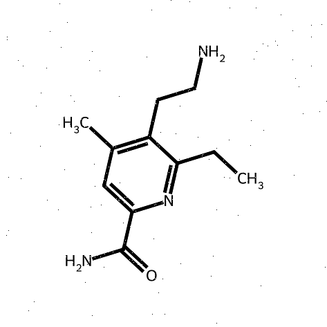 CCc1nc(C(N)=O)cc(C)c1CCN